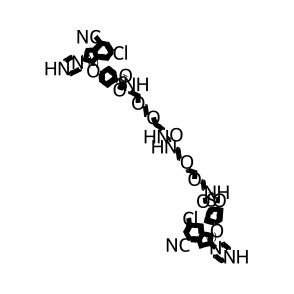 N#Cc1cc(Cl)cc2c1CC(N1CCNCC1)[C@H]2Oc1ccc(S(=O)(=O)NCCOCCOCCNC(=O)NCCOCCOCCNS(=O)(=O)c2ccc(O[C@H]3c4cc(Cl)cc(C#N)c4C[C@@H]3N3CCNCC3)cc2)cc1